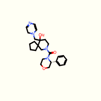 O=C(N1CCC(O)(CN2C=CN=CC2)C2(CCCC2)C1)N1CCOC[C@H]1c1ccccc1